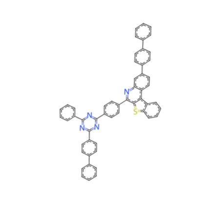 c1ccc(-c2ccc(-c3ccc4c(c3)nc(-c3ccc(-c5nc(-c6ccccc6)nc(-c6ccc(-c7ccccc7)cc6)n5)cc3)c3sc5ccccc5c34)cc2)cc1